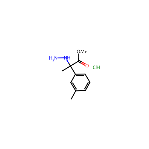 COC(=O)C(C)(NN)c1cccc(C)c1.Cl